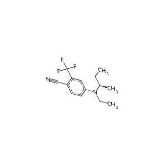 CC[C@@H](C)N(CC)c1ccc(C#N)c(C(F)(F)F)c1